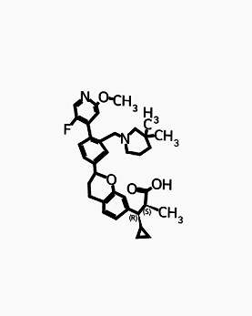 COc1cc(-c2ccc(C3CCc4ccc([C@H](C5CC5)[C@H](C)C(=O)O)cc4O3)cc2CN2CCCC(C)(C)C2)c(F)cn1